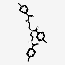 Cc1ccc(C(=O)NCCN(CCNC(=O)c2ccc(C)cc2)C(=O)c2ccc(C)cc2)cc1